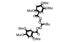 [CH2]CCC[C](OOC(=O)c1cc(OC)c(OC)cc1OC)OOC(=O)c1cc(OC)c(OC)cc1OC